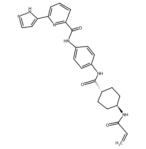 C=CC(=O)N[C@H]1CC[C@H](C(=O)Nc2ccc(NC(=O)c3cccc(-c4ccn[nH]4)n3)cc2)CC1